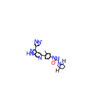 Cc1cc(NC(=O)CN2C[C@H]3CC[C@@H]2C3)ccc1-c1cc2c(-c3cnn(C)c3)n[nH]c2cn1